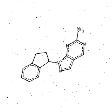 Nc1ncc2cnn(C3CCc4ccccc43)c2n1